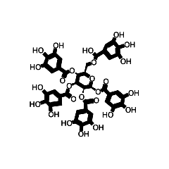 O=C(O[C@@H]1O[C@H](COC(O)c2cc(O)c(O)c(O)c2)[C@@H](OC(=O)c2cc(O)c(O)c(O)c2)[C@H](OC(=O)c2cc(O)c(O)c(O)c2)[C@H]1OC(=O)c1cc(O)c(O)c(O)c1)c1cc(O)c(O)c(O)c1